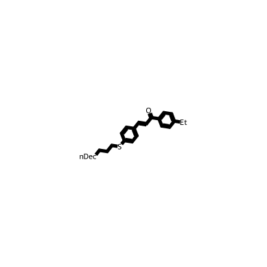 CCCCCCCCCCCCCSc1ccc(C=CC(=O)c2ccc(CC)cc2)cc1